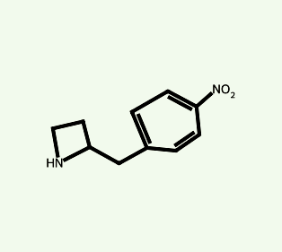 O=[N+]([O-])c1ccc(CC2CCN2)cc1